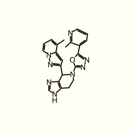 Cc1ncccc1-c1nnc(N2CCc3[nH]cnc3C2c2cc3c(C)cccn3n2)o1